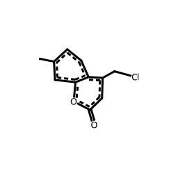 Cc1ccc2c(CCl)cc(=O)oc2c1